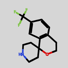 FC(F)(F)c1ccc2c(c1)C1(CCNCC1)OCC2